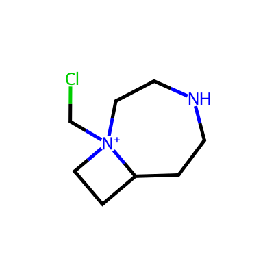 ClC[N+]12CCNCCC1CC2